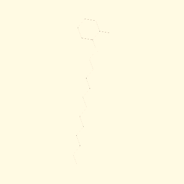 CCCCCCCCCCCCSC1CCCCC1C